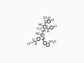 Cc1c(C#N)c(Nc2ccc(Cl)c(S(=O)(=O)O)c2)nc(Nc2ccc(Cl)cc2)c1N=Nc1sc(N=Nc2ccc3cccc(S(=O)(=O)O)c3c2)c(-c2ccc(NC(=O)CCCl)cc2)c1C#N